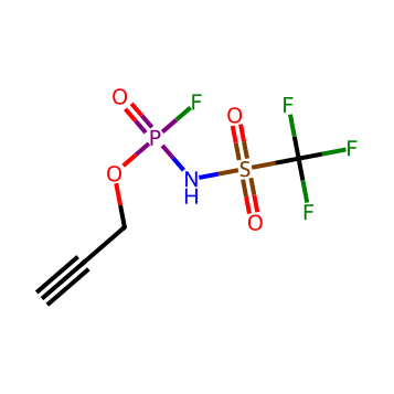 C#CCOP(=O)(F)NS(=O)(=O)C(F)(F)F